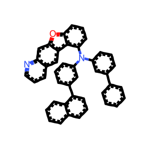 c1ccc(-c2cccc(N(c3cccc(-c4cccc5ccccc45)c3)c3cccc4oc5cc6ncccc6cc5c34)c2)cc1